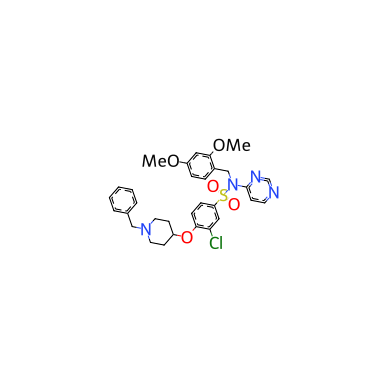 COc1ccc(CN(c2ccncn2)S(=O)(=O)c2ccc(OC3CCN(Cc4ccccc4)CC3)c(Cl)c2)c(OC)c1